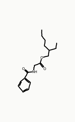 CCCCC(CC)COC(=O)CNC(=O)c1ccccc1